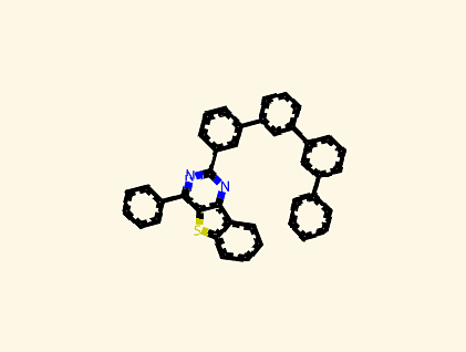 c1ccc(-c2cccc(-c3cccc(-c4cccc(-c5nc(-c6ccccc6)c6sc7ccccc7c6n5)c4)c3)c2)cc1